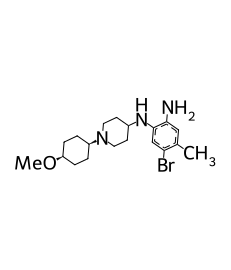 CO[C@H]1CC[C@@H](N2CCC(Nc3cc(Br)c(C)cc3N)CC2)CC1